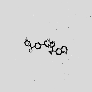 C[C@H]1CCN(C(=O)c2ccc(-c3cnc4ncc(C5(c6ccc7ncccc7c6)CC5)n4c3)cc2)C1